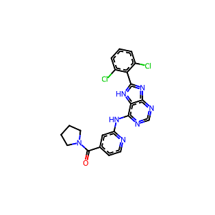 O=C(c1ccnc(Nc2ncnc3nc(-c4c(Cl)cccc4Cl)[nH]c23)c1)N1CCCC1